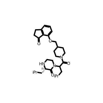 CC(C)CC(C(=O)N1CCC(COc2cccc3c2C(=O)CC3)CC1)N1CCN[C@@H](CC(C)C)C1=O